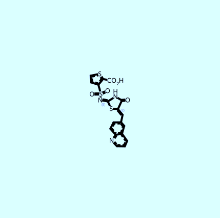 O=C1N/C(=N\S(=O)(=O)c2ccsc2C(=O)O)S/C1=C\c1ccc2ncccc2c1